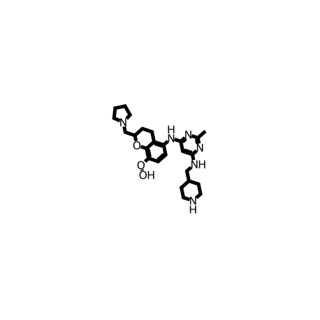 Cc1nc(NCC2CCNCC2)cc(Nc2ccc(OO)c3c2CCC(CN2CCCC2)O3)n1